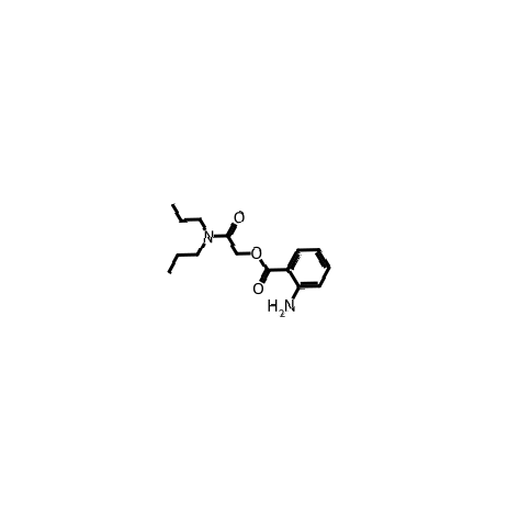 CCCN(CCC)C(=O)COC(=O)c1ccccc1N